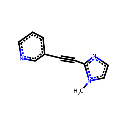 Cn1ccnc1C#Cc1cccnc1